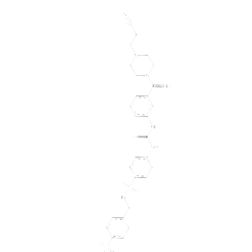 N#CCCN1CCN(C(=N)c2cccc(NC(=O)Nc3ccc(S(=O)(=O)NCc4ccc(S(N)(=O)=O)cc4)cc3)c2)CC1